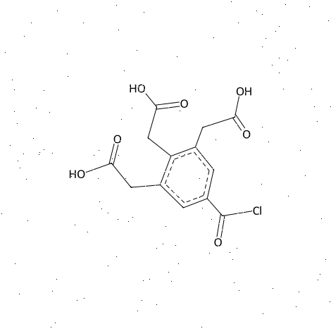 O=C(O)Cc1cc(C(=O)Cl)cc(CC(=O)O)c1CC(=O)O